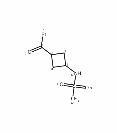 CCC(=O)C1CC(NS(=O)(=O)C(F)(F)F)C1